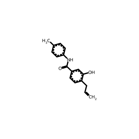 C=CCc1ccc(C(=O)Nc2ccc(C)cc2)cc1O